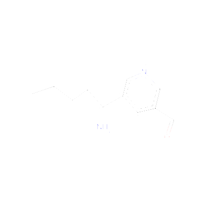 CCCC[C@@H](N)c1cncc(C=O)c1